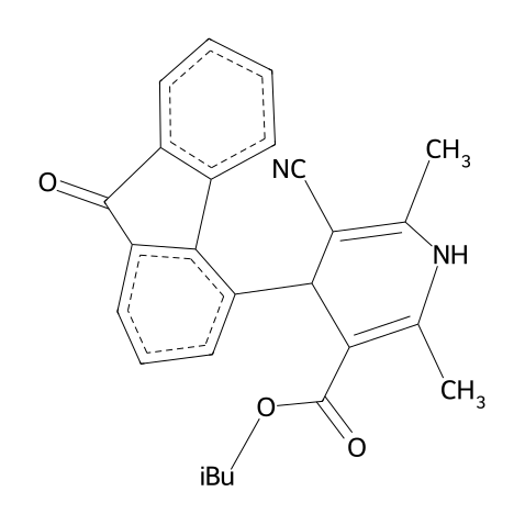 CCC(C)OC(=O)C1=C(C)NC(C)=C(C#N)C1c1cccc2c1-c1ccccc1C2=O